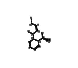 B=C(C)C1C=CC=CC1C(C)/C=C\CC